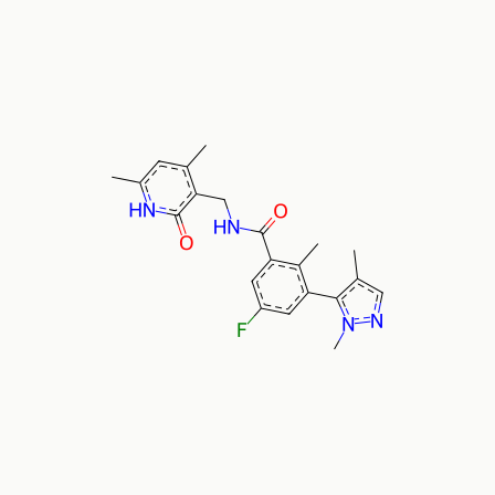 Cc1cc(C)c(CNC(=O)c2cc(F)cc(-c3c(C)cnn3C)c2C)c(=O)[nH]1